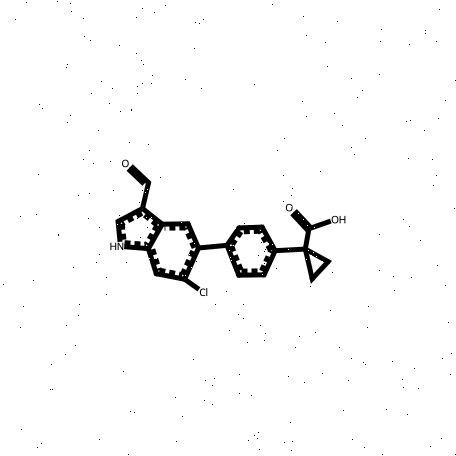 O=Cc1c[nH]c2cc(Cl)c(-c3ccc(C4(C(=O)O)CC4)cc3)cc12